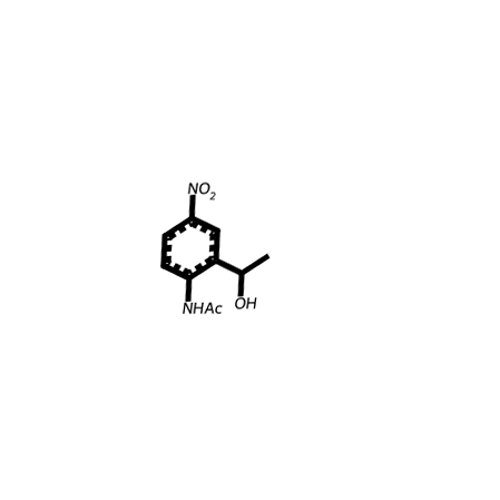 CC(=O)Nc1ccc([N+](=O)[O-])cc1C(C)O